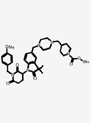 COc1ccc(CN2C(=O)CCC(N3C(=O)C(C)(C)c4cc(CN5CCN(CC6CCN(C(=O)OC(C)(C)C)CC6)CC5)ccc43)C2=O)cc1